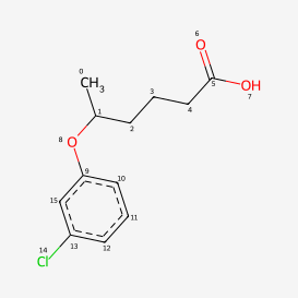 CC(CCCC(=O)O)Oc1cccc(Cl)c1